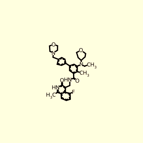 CCN(c1cc(-c2ccc(CN3CCOCC3)cc2)cc(C(=O)NCc2c(=O)[nH]c(C)c3cccc(F)c23)c1C)C1CCOCC1